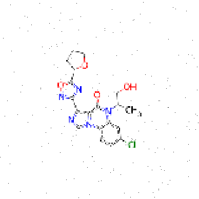 CC(CO)n1c(=O)c2c(-c3noc(C4CCCO4)n3)ncn2c2ccc(Cl)cc21